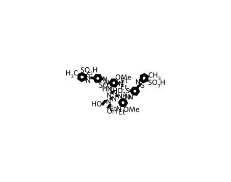 CCN(CC)c1cc(Nc2nc(Nc3cc(N(CC)CC)c(OC)cc3/N=N/c3ccc(-c4nc5ccc(C)c(S(=O)(=O)O)c5s4)cc3S(=O)(=O)O)nc(N(CCO)CCO)n2)c(/N=N/c2ccc(-c3nc4ccc(C)c(S(=O)(=O)O)c4s3)cc2S(=O)(=O)O)cc1OC